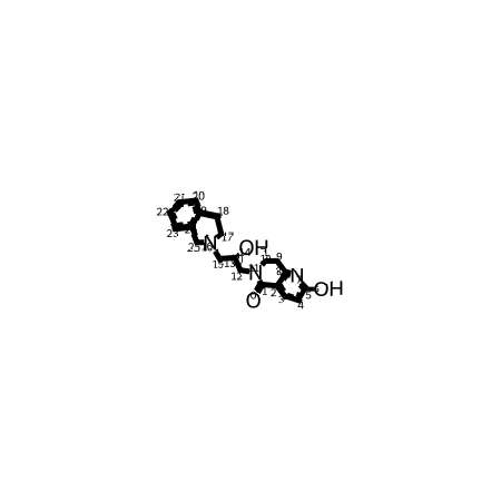 O=C1c2ccc(O)nc2CCN1C[C@H](O)CN1CCc2ccccc2C1